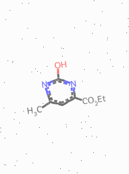 CCOC(=O)c1cc(C)nc(O)n1